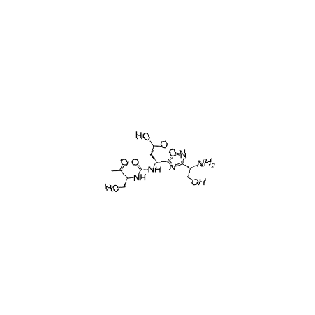 CC(=O)[C@H](CO)NC(=O)N[C@@H](CC(=O)O)c1nc([C@@H](N)CO)no1